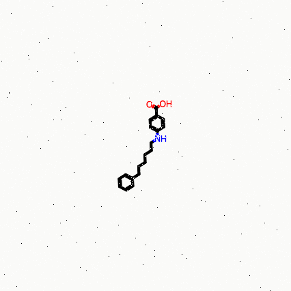 O=C(O)c1ccc(NCCCCCCc2ccccc2)cc1